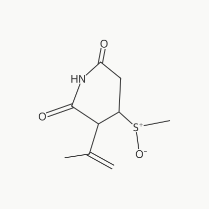 C=C(C)C1C(=O)NC(=O)CC1[S+](C)[O-]